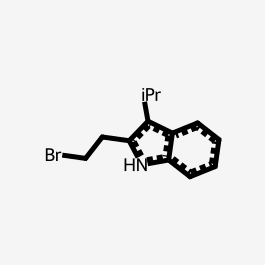 CC(C)c1c(CCBr)[nH]c2ccccc12